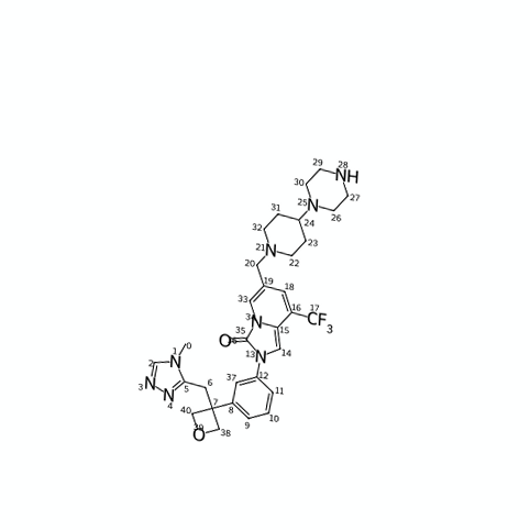 Cn1cnnc1CC1(c2cccc(-n3cc4c(C(F)(F)F)cc(CN5CCC(N6CCNCC6)CC5)cn4c3=O)c2)COC1